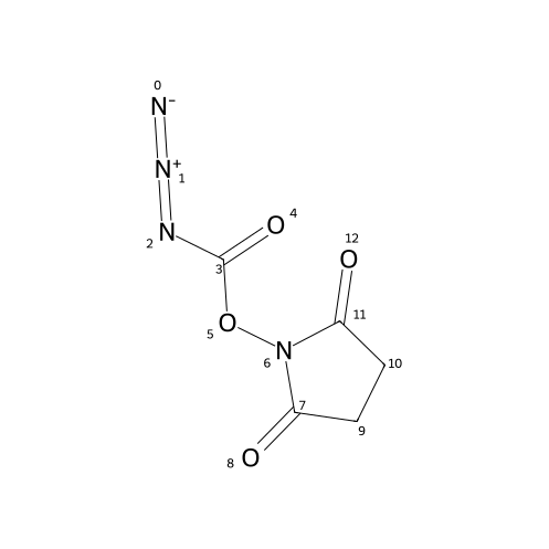 [N-]=[N+]=NC(=O)ON1C(=O)CCC1=O